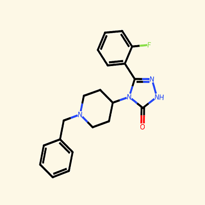 O=c1[nH]nc(-c2ccccc2F)n1C1CCN(Cc2ccccc2)CC1